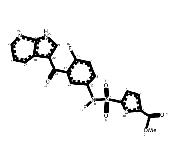 COC(=O)c1ccc(S(=O)(=O)N(F)c2ccc(F)c(C(=O)c3c[nH]c4ncccc34)c2)o1